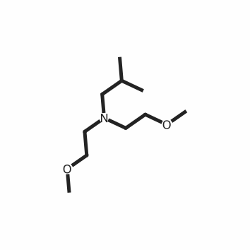 COCCN(CCOC)CC(C)C